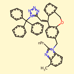 CCCc1nc2c(C)cccc2n1Cc1ccc2c(c1)OCc1ccccc1C2=Cc1nnnn1C(c1ccccc1)(c1ccccc1)c1ccccc1